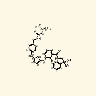 CCCC(O)(CNC(=O)c1nccc(Sc2cnc(Nc3ccc(CNC(=O)CN(C)C)cn3)s2)c1F)c1ccccc1